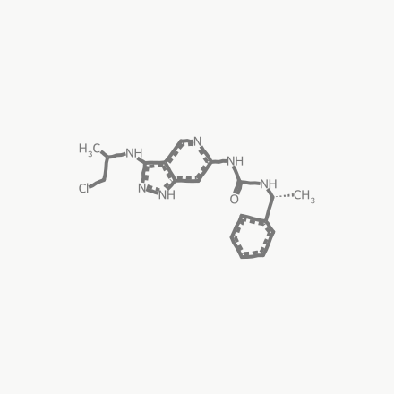 CC(CCl)Nc1n[nH]c2cc(NC(=O)N[C@H](C)c3ccccc3)ncc12